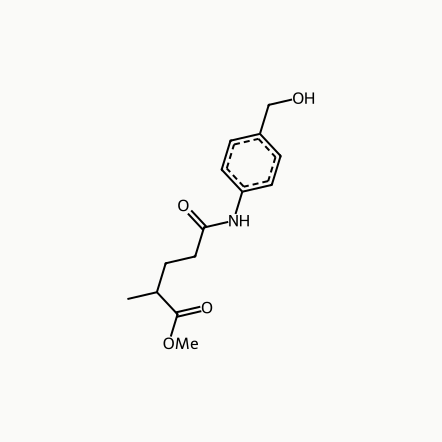 COC(=O)C(C)CCC(=O)Nc1ccc(CO)cc1